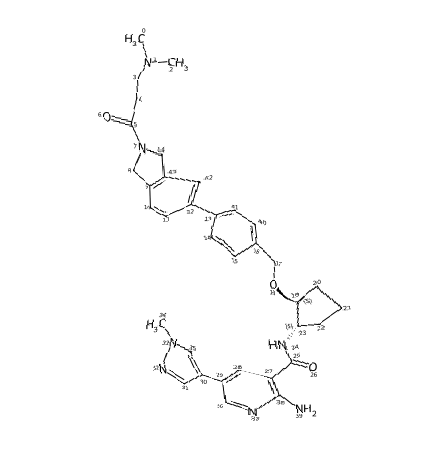 CN(C)CCC(=O)N1Cc2ccc(-c3ccc(CO[C@H]4CCC[C@@H]4NC(=O)c4cc(-c5cnn(C)c5)cnc4N)cc3)cc2C1